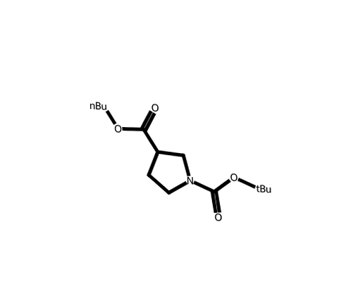 CCCCOC(=O)C1CCN(C(=O)OC(C)(C)C)C1